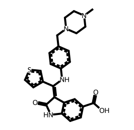 CN1CCN(Cc2ccc(NC(=C3C(=O)Nc4ccc(C(=O)O)cc43)c3ccsc3)cc2)CC1